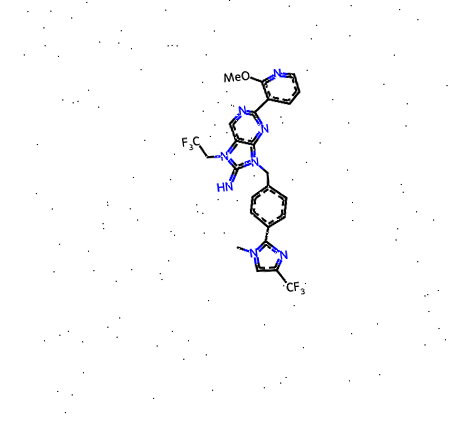 COc1ncccc1-c1ncc2c(n1)n(Cc1ccc(-c3nc(C(F)(F)F)cn3C)cc1)c(=N)n2CC(F)(F)F